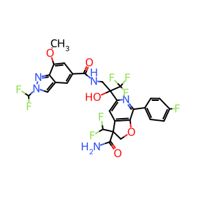 COc1cc(C(=O)NCC(O)(c2cc3c(c(-c4ccc(F)cc4)n2)OCC3(C(N)=O)C(F)F)C(F)(F)F)cc2cn(C(F)F)nc12